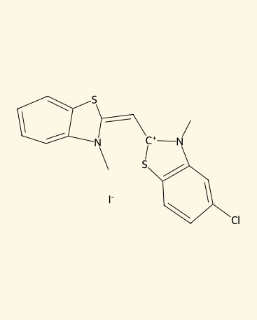 CN1C(=C[c+]2sc3ccc(Cl)cc3n2C)Sc2ccccc21.[I-]